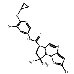 CC1(C)C[C@@H](C(=O)Nc2cnc(OC3CC3)c(Cl)c2)c2cnc3cc(Cl)nn3c21